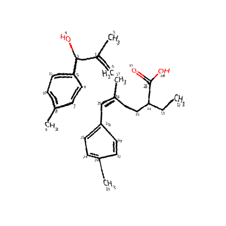 C=C(C)C(O)c1ccc(C)cc1.CCC(CC(C)=Cc1ccc(C)cc1)C(=O)O